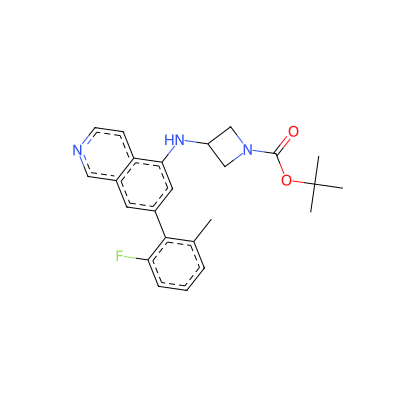 Cc1cccc(F)c1-c1cc(NC2CN(C(=O)OC(C)(C)C)C2)c2ccncc2c1